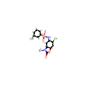 CCn1c(=O)oc2cc(Cl)c(NS(=O)(=O)c3cccc(Cl)c3)cc21